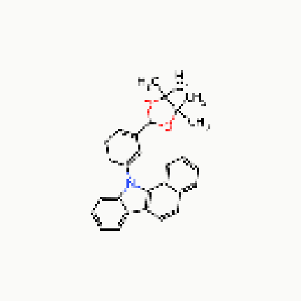 CC1(C)OC(C2=CCCC(n3c4ccccc4c4ccc5ccccc5c43)=C2)OC1(C)C